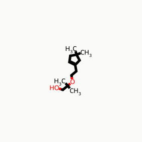 CC1(C)CC=C(CCOC(C)(C)CO)C1